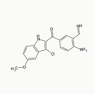 COc1ccc2[nH]c(C(=O)c3ccc(N)c(C=N)c3)c(Cl)c2c1